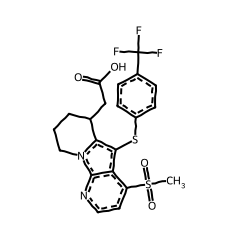 CS(=O)(=O)c1ccnc2c1c(Sc1ccc(C(F)(F)F)cc1)c1n2CCCC1CC(=O)O